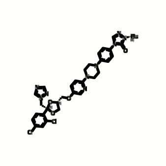 CC[C@@H](C)n1ncn(-c2ccc(N3CCN(c4ccc(OC[C@@H]5CO[C@@](Cn6cncn6)(c6ccc(Cl)cc6Cl)O5)cn4)CC3)cc2)c1=O